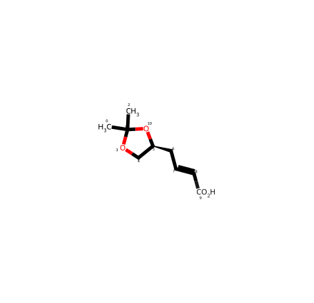 CC1(C)OC[C@H](C/C=C/C(=O)O)O1